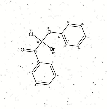 O=C(c1ccccc1)C(Cl)(Br)Oc1ccccc1